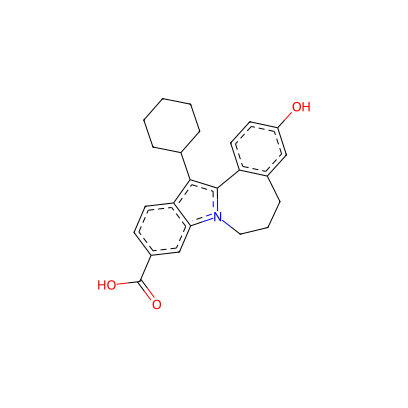 O=C(O)c1ccc2c(C3CCCCC3)c3n(c2c1)CCCc1cc(O)ccc1-3